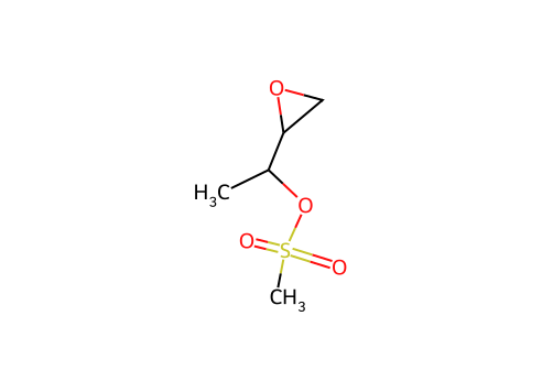 CC(OS(C)(=O)=O)C1CO1